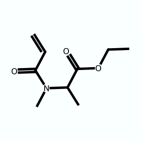 C=CC(=O)N(C)C(C)C(=O)OCC